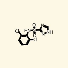 O=S(=O)(Nc1c(Cl)cccc1Cl)c1nc[nH]n1